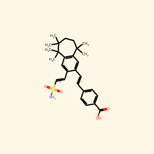 CC1(C)CCC(C)(C)C(C)(C)c2cc(/C=C/S(N)(=O)=O)c(/C=C/c3ccc(C(=O)O)cc3)cc21